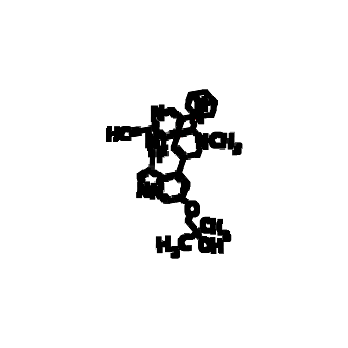 C#Cc1ncc(CN2C3CC2CN(C2=CC=C(c4cc(OCC(C)(C)O)cn5ncc(C#N)c45)CN2C)C3)cc1F